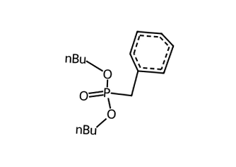 CCCCOP(=O)(Cc1ccccc1)OCCCC